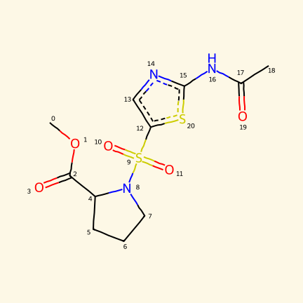 COC(=O)C1CCCN1S(=O)(=O)c1cnc(NC(C)=O)s1